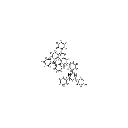 c1ccc(-c2cc(-c3ccccc3)nc(-c3cccc(-c4ccc5c(c4)nc(-c4ccccc4)c4ccc6c7ccccc7n(-c7ccccc7)c6c45)c3)n2)cc1